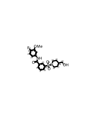 COc1cc(NC(=O)c2cccc(S(=O)(=O)N3CCC(CO)CC3)c2)ccc1F